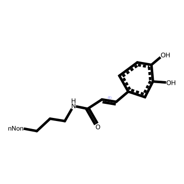 CCCCCCCCCCCCNC(=O)/C=C/c1ccc(O)c(O)c1